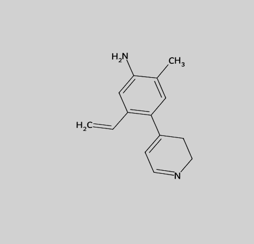 C=Cc1cc(N)c(C)cc1C1=CC=NCC1